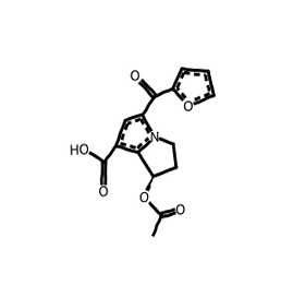 CC(=O)O[C@@H]1CCn2c(C(=O)c3ccco3)cc(C(=O)O)c21